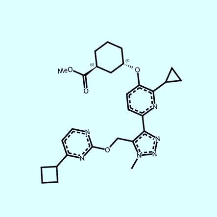 COC(=O)[C@H]1CCC[C@H](Oc2ccc(-c3nnn(C)c3COc3nccc(C4CCC4)n3)nc2C2CC2)C1